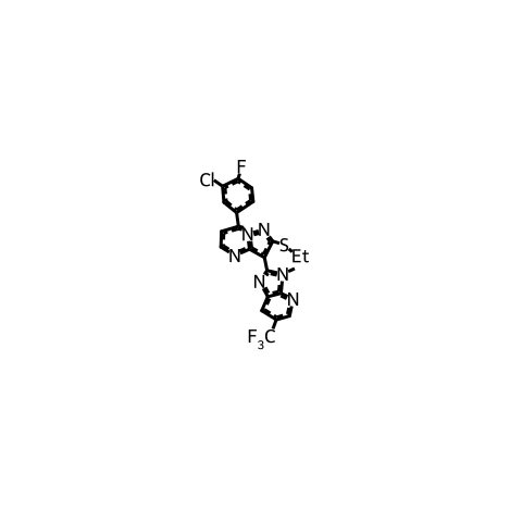 CCSc1nn2c(-c3ccc(F)c(Cl)c3)ccnc2c1-c1nc2cc(C(F)(F)F)cnc2n1C